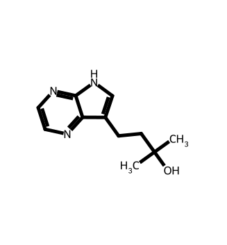 CC(C)(O)CCc1c[nH]c2nccnc12